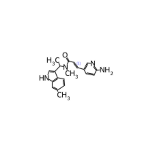 Cc1ccc2c(C(C)N(C)C(=O)/C=C/c3ccc(N)nc3)c[nH]c2c1